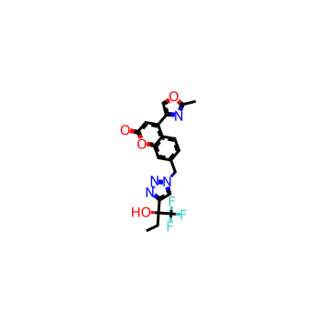 CCC(O)(c1cn(Cc2ccc3c(-c4coc(C)n4)cc(=O)oc3c2)nn1)C(F)(F)F